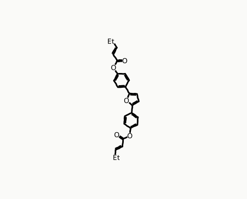 CCC=CC(=O)Oc1ccc(-c2ccc(-c3ccc(OC(=O)C=CCC)cc3)o2)cc1